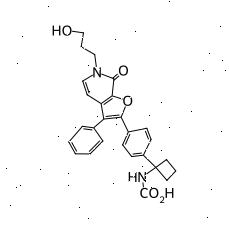 O=C(O)NC1(c2ccc(-c3oc4c(=O)n(CCCO)ccc4c3-c3ccccc3)cc2)CCC1